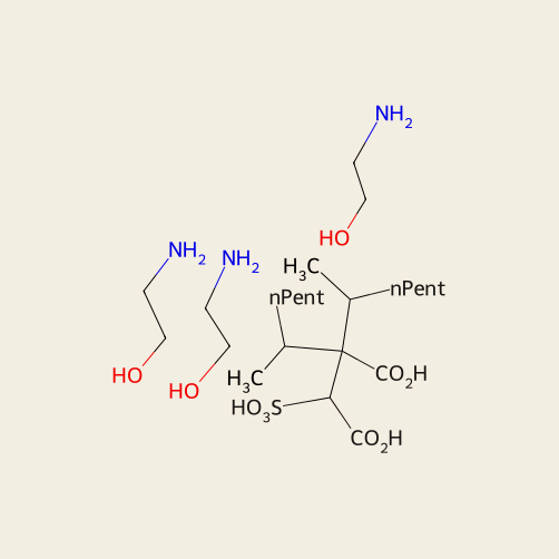 CCCCCC(C)C(C(=O)O)(C(C)CCCCC)C(C(=O)O)S(=O)(=O)O.NCCO.NCCO.NCCO